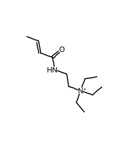 CC=CC(=O)NCC[N+](CC)(CC)CC